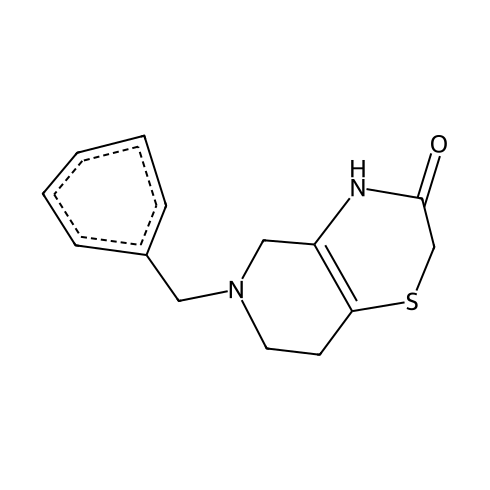 O=C1CSC2=C(CN(Cc3ccccc3)CC2)N1